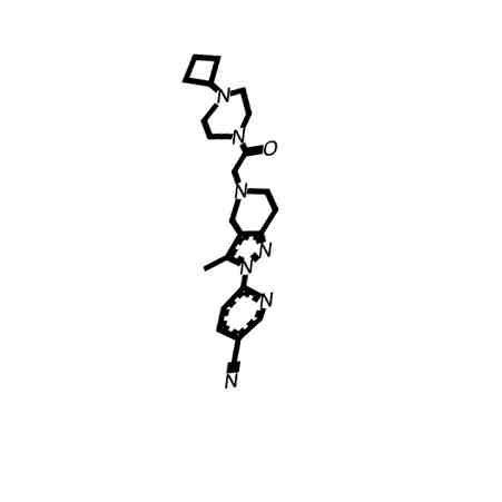 Cc1c2c(nn1-c1ccc(C#N)cn1)CCN(CC(=O)N1CCN(C3CCC3)CC1)C2